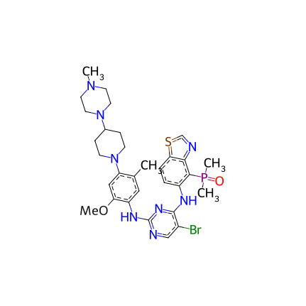 COc1cc(N2CCC(N3CCN(C)CC3)CC2)c(C)cc1Nc1ncc(Br)c(Nc2ccc3scnc3c2P(C)(C)=O)n1